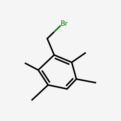 Cc1cc(C)c(C)c(CBr)c1C